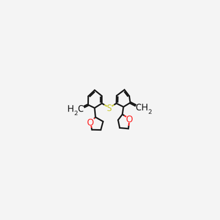 C=C1C=CC=C(SC2=CC=CC(=C)C2C2CCCO2)C1C1CCCO1